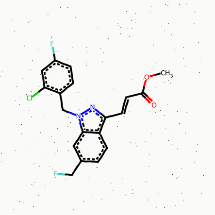 COC(=O)/C=C/c1nn(Cc2ccc(F)cc2Cl)c2cc(CF)ccc12